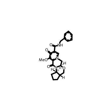 COc1c2n(cc(C(=O)NCc3ccccc3)c1=O)C[C@H]1OC[C@@H]3CCC[C@@H]3N1C2=O